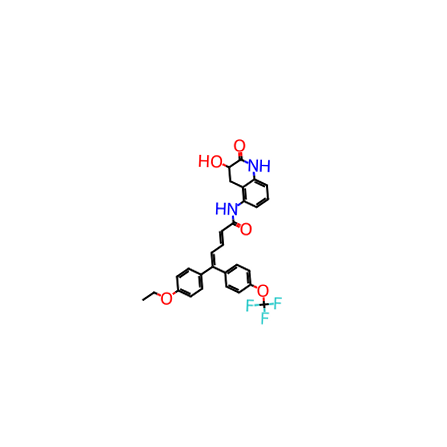 CCOc1ccc(C(=CC=CC(=O)Nc2cccc3c2CC(O)C(=O)N3)c2ccc(OC(F)(F)F)cc2)cc1